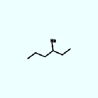 CCC[CH]([Na])CC